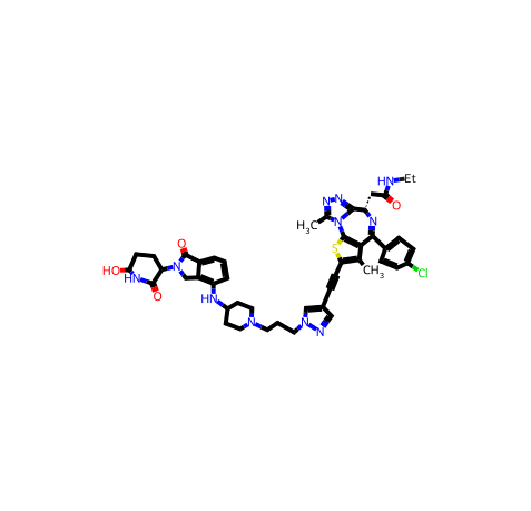 CCNC(=O)C[C@@H]1N=C(c2ccc(Cl)cc2)c2c(sc(C#Cc3cnn(CCCN4CCC(Nc5cccc6c5CN(C5CCC(O)NC5=O)C6=O)CC4)c3)c2C)-n2c(C)nnc21